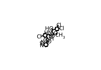 COC(=O)C(NC(=O)c1ccc(Cl)cc1NS(=O)(=O)c1cccc2nsnc12)C(O)c1ccc(Cl)c(Cl)c1